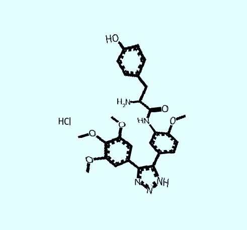 COc1ccc(-c2[nH]nnc2-c2cc(OC)c(OC)c(OC)c2)cc1NC(=O)C(N)Cc1ccc(O)cc1.Cl